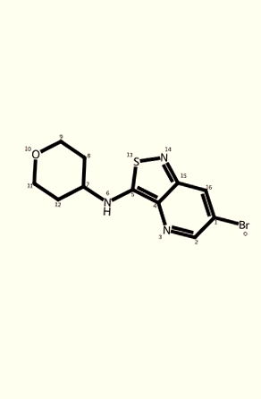 Brc1cnc2c(NC3CCOCC3)snc2c1